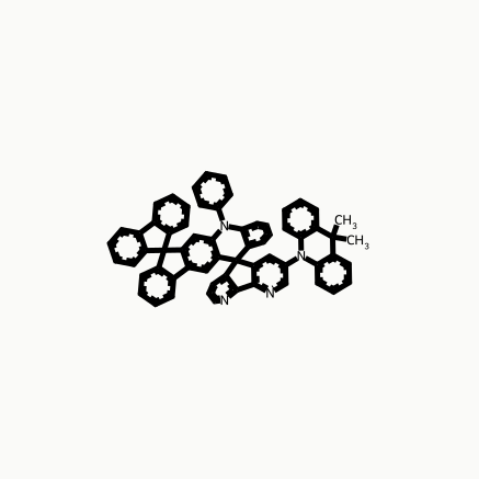 CC1(C)c2ccccc2N(c2cnc3c(c2)C2(c4ccccc4N(c4ccccc4)c4cc5c(cc42)-c2ccccc2C52c4ccccc4-c4ccccc42)c2cccnc2-3)c2ccccc21